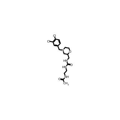 CC(=O)NCCNC(=O)NCC1CN(Cc2ccc(Cl)c(Cl)c2)CCO1